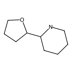 C1CCC(C2CCCO2)[N]C1